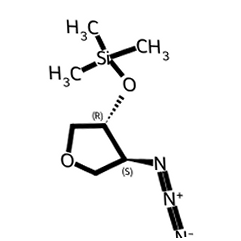 C[Si](C)(C)O[C@H]1COC[C@@H]1N=[N+]=[N-]